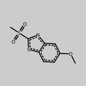 COc1ccc2sc(S(C)(=O)=O)nc2c1